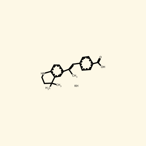 CC(=Cc1ccc(C(=O)O)cc1)c1ccc2c(c1)C(C)(C)CCN2.[KH]